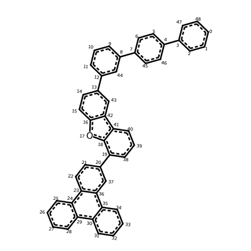 c1ccc(-c2ccc(-c3cccc(-c4ccc5oc6c(-c7ccc8c9ccccc9c9ccccc9c8c7)cccc6c5c4)c3)cc2)cc1